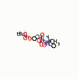 C[C@@H](C1CC1)N(Cc1ccccc1)C(=O)CN1C(=O)OC2(CCc3cc(OCC(=O)OC(C)(C)C)ccc32)C1=O